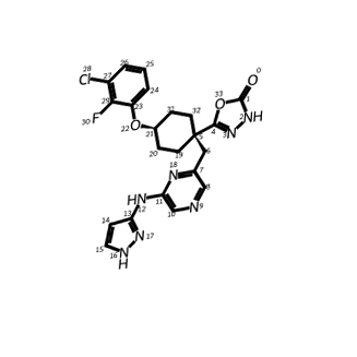 O=c1[nH]nc([C@]2(Cc3cncc(Nc4cc[nH]n4)n3)CC[C@@H](Oc3cccc(Cl)c3F)CC2)o1